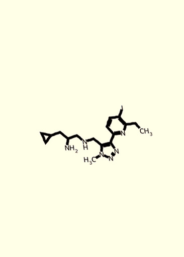 CCc1nc(-c2nnn(C)c2CNCC(N)CC2CC2)ccc1I